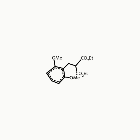 CCOC(=O)C(Cc1c(OC)cccc1OC)C(=O)OCC